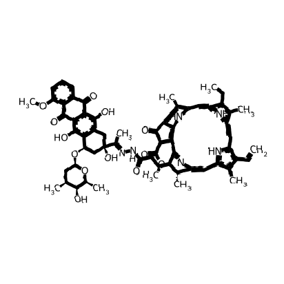 C=Cc1c2[nH]c(c1C)/C=C1\N=C(C3=C4NC(/C=c5\[nH]/c(c(C)c5CC)=C\2)C(C)=C4C(=O)C3C(=O)OC)C(CCC(=O)N/N=C(\C)[C@@]2(O)Cc3c(O)c4c(c(O)c3[C@H](O[C@@H]3C[C@H](C)[C@H](O)[C@H](C)O3)C2)C(=O)c2c(OC)cccc2C4=O)[C@H]1C